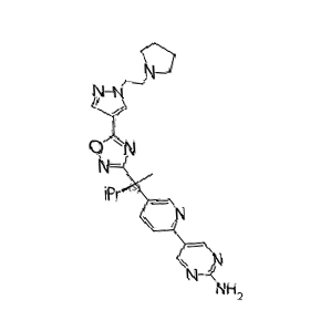 CC(C)[C@@](C)(c1ccc(-c2cnc(N)nc2)nc1)c1noc(-c2cnn(CCN3CCCC3)c2)n1